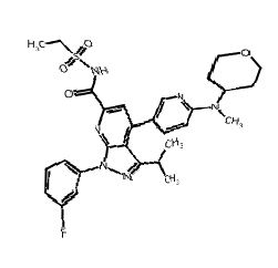 CCS(=O)(=O)NC(=O)c1cc(-c2ccc(N(C)C3CCOCC3)nc2)c2c(C(C)C)nn(-c3cccc(F)c3)c2n1